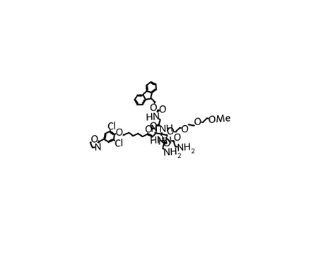 COCCOCCOCCOC(NC(=O)CN)C(NC(=O)CN)(NC(=O)CNC(=O)OCC1c2ccccc2-c2ccccc21)c1cc(CCCCCOc2c(Cl)cc(C3=NCCO3)cc2Cl)on1